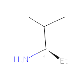 CC[C@@H](N)C(C)C